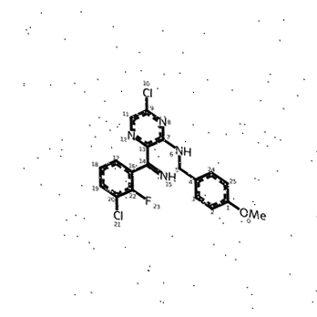 COc1ccc(CNc2nc(Cl)cnc2C(=N)c2cccc(Cl)c2F)cc1